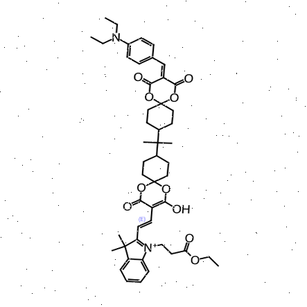 CCOC(=O)CC[N+]1=C(/C=C/C2=C(O)OC3(CCC(C(C)(C)C4CCC5(CC4)OC(=O)C(=Cc4ccc(N(CC)CC)cc4)C(=O)O5)CC3)OC2=O)C(C)(C)c2ccccc21